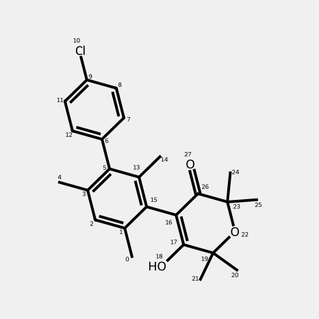 Cc1cc(C)c(-c2ccc(Cl)cc2)c(C)c1C1=C(O)C(C)(C)OC(C)(C)C1=O